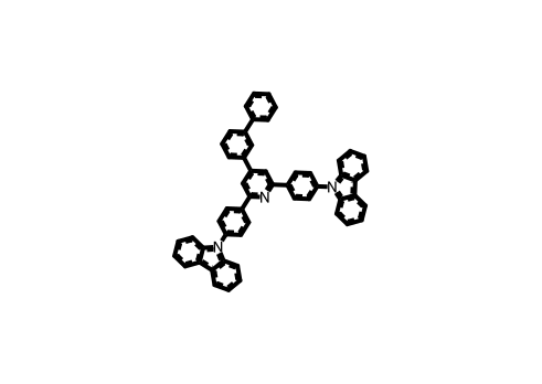 c1ccc(-c2cccc(-c3cc(-c4ccc(-n5c6ccccc6c6ccccc65)cc4)nc(-c4ccc(-n5c6ccccc6c6ccccc65)cc4)c3)c2)cc1